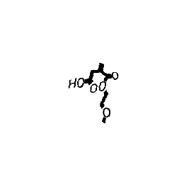 C=C(CC(=O)O)C(=O)OCCOC